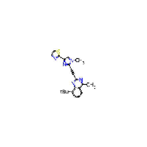 Cc1nc(C#Cc2nc(-c3nccs3)cn2C)nc2c(C(C)(C)C)cccc12